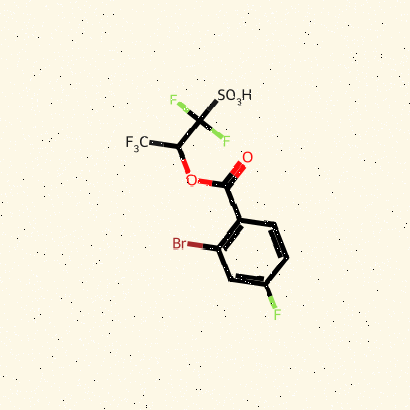 O=C(OC(C(F)(F)F)C(F)(F)S(=O)(=O)O)c1ccc(F)cc1Br